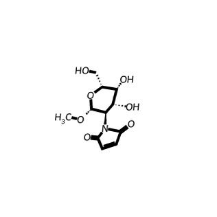 CO[C@@H]1O[C@H](CO)[C@H](O)[C@H](O)[C@H]1N1C(=O)C=CC1=O